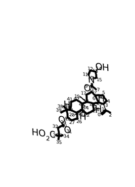 C=C(C)[C@@H]1CC[C@]2(CC(=O)N3CC[C@H](O)C3)CC[C@]3(C)[C@H](CC[C@@H]4[C@@]5(C)CC[C@H](OC(=O)CC(C)(C)C(=O)O)C(C)(C)[C@@H]5CC[C@]43C)[C@@H]12